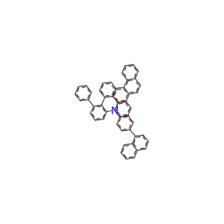 c1ccc(-c2ccccc2-c2c(-c3ccccc3)cccc2N(c2ccc(-c3cccc4ccccc34)cc2)c2ccc3c(ccc4ccccc43)c2)cc1